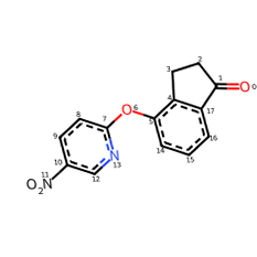 O=C1CCc2c(Oc3ccc([N+](=O)[O-])cn3)cccc21